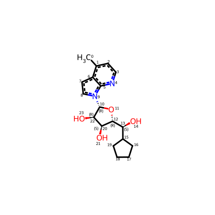 Cc1ccnc2c1ccn2[C@@H]1O[C@H]([C@@H](O)C2CCCC2)[C@@H](O)[C@H]1O